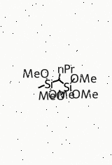 CCCC([Si](C)(OC)OC)[Si](OC)(OC)OC